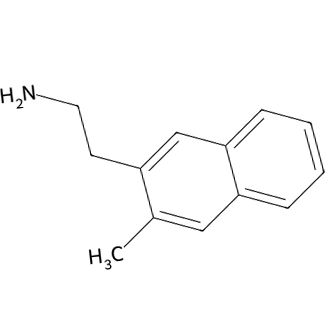 Cc1cc2ccccc2cc1CCN